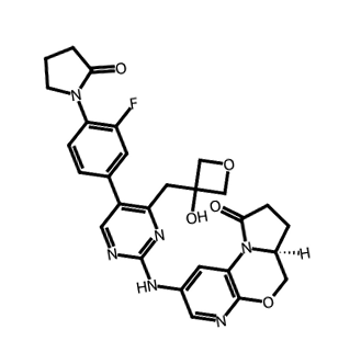 O=C1CCCN1c1ccc(-c2cnc(Nc3cnc4c(c3)N3C(=O)CC[C@H]3CO4)nc2CC2(O)COC2)cc1F